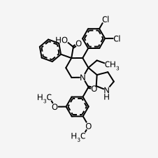 CCC1(C2CCNC2)C(c2ccc(Cl)c(Cl)c2)C(C(=O)O)(c2ccccc2)CCN1C(=O)c1cc(OC)cc(OC)c1